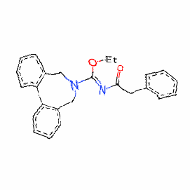 CCOC(=NC(=O)Cc1ccccc1)N1Cc2ccccc2-c2ccccc2C1